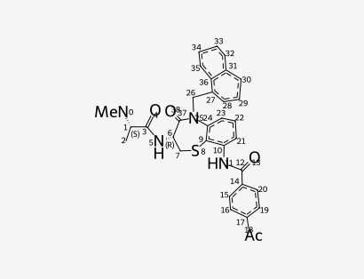 CN[C@@H](C)C(=O)N[C@H]1CSc2c(NC(=O)c3ccc(C(C)=O)cc3)cccc2N(Cc2cccc3ccccc23)C1=O